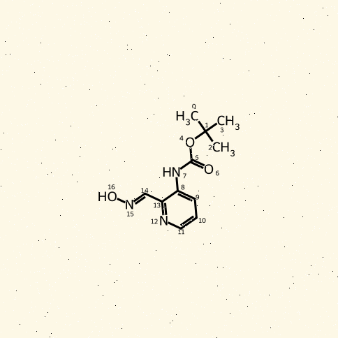 CC(C)(C)OC(=O)Nc1cccnc1/C=N/O